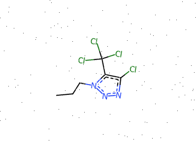 CCCn1nnc(Cl)c1C(Cl)(Cl)Cl